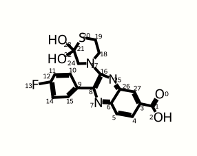 O=C(O)c1ccc2nc(-c3ccc(F)cc3)c(N3CCSC(O)(O)C3)nc2c1